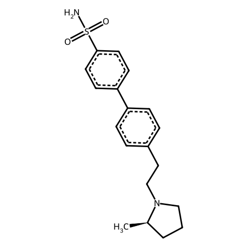 C[C@@H]1CCCN1CCc1ccc(-c2ccc(S(N)(=O)=O)cc2)cc1